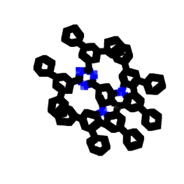 c1ccc(-c2cc(-c3ccccc3)cc(-c3nc(-c4cc(-c5ccccc5)cc(-c5ccccc5)c4)nc(-c4cc5c6c(c4)-n4c7cc(-c8ccccc8)cc(-c8ccccc8)c7c7cc(-c8ccccc8)cc(c74)B6c4cc(-c6ccccc6)cc6c7c(-c8ccccc8)cc(-c8ccccc8)cc7n-5c46)n3)c2)cc1